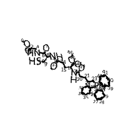 COC(=O)CNC(=O)[C@H](CS)NC(=O)CC[C@H](NC(=O)CCCC[PH](c1ccccc1)(c1ccccc1)c1ccccc1)C(=O)OC